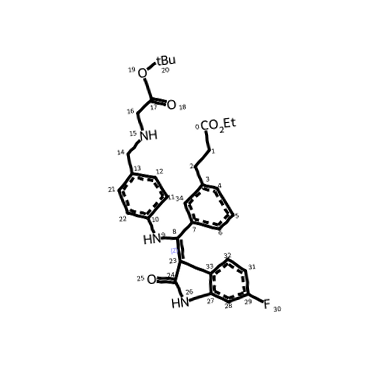 CCOC(=O)CCc1cccc(/C(Nc2ccc(CNCC(=O)OC(C)(C)C)cc2)=C2/C(=O)Nc3cc(F)ccc32)c1